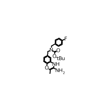 CC1=C(N)Nc2cc(CN(Cc3ccc(F)cc3)C(=O)OC(C)(C)C)ccc2O1